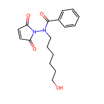 O=C(c1ccccc1)N(CCCCCCO)N1C(=O)C=CC1=O